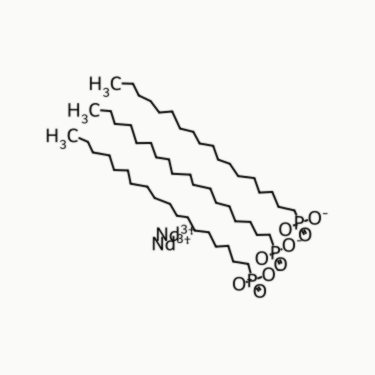 CCCCCCCCCCCCCCCCCCP(=O)([O-])[O-].CCCCCCCCCCCCCCCCCCP(=O)([O-])[O-].CCCCCCCCCCCCCCCCCCP(=O)([O-])[O-].[Nd+3].[Nd+3]